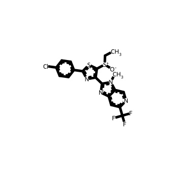 CC[S+]([O-])c1sc(-c2ccc(Cl)cc2)nc1-c1nc2cc(C(F)(F)F)ncc2n1C